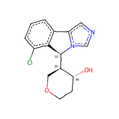 O[C@@H]1CCOC[C@H]1[C@H]1c2c(Cl)cccc2-c2cncn21